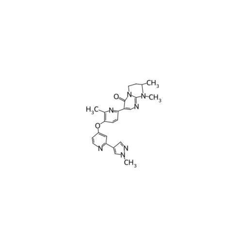 Cc1nc(-c2cnc3n(c2=O)CCC(C)N3C)ccc1Oc1ccnc(-c2cnn(C)c2)c1